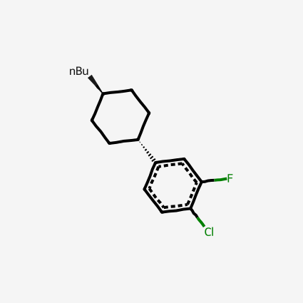 CCCC[C@H]1CC[C@H](c2ccc(Cl)c(F)c2)CC1